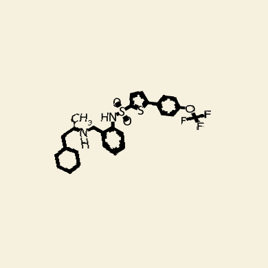 C[C@@H](CC1CCCCC1)NCc1ccccc1NS(=O)(=O)c1ccc(-c2ccc(OC(F)(F)F)cc2)s1